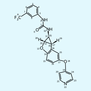 O=C(Nc1cccc(C(F)(F)F)c1)N[C@@H]1[C@H]2Oc3ccc(Oc4ccncc4)cc3[C@@H]12